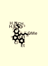 CCc1cccc(-c2c(Cl)cccc2C(O)(CCCCOC)C2CCCN(C(=O)C(C)(C)N)C2)c1